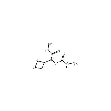 CC(C)(C)OC(=O)N(CC(=O)NN)C1CCC1